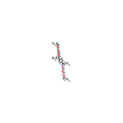 CCOCCOCCO/C=C(\C)c1ccc(/C(C)=C/OCCOCCOCC)cc1